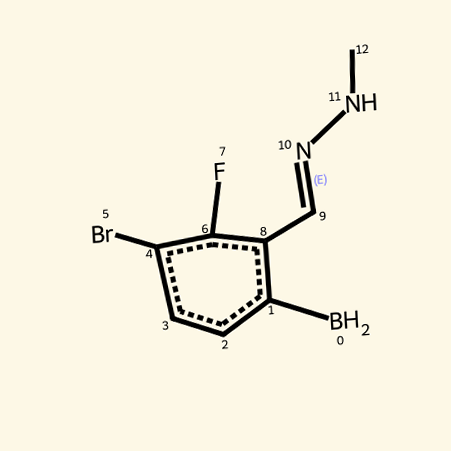 Bc1ccc(Br)c(F)c1/C=N/NC